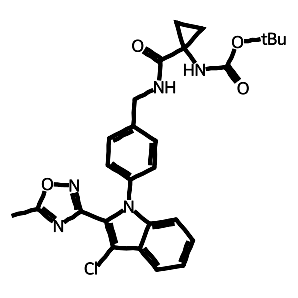 Cc1nc(-c2c(Cl)c3ccccc3n2-c2ccc(CNC(=O)C3(NC(=O)OC(C)(C)C)CC3)cc2)no1